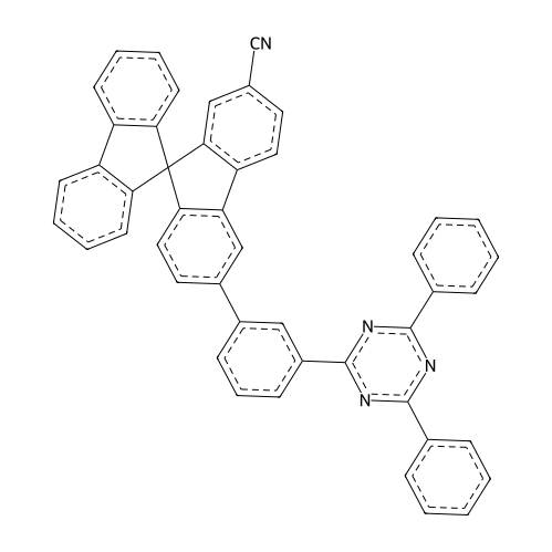 N#Cc1ccc2c(c1)C1(c3ccccc3-c3ccccc31)c1ccc(-c3cccc(-c4nc(-c5ccccc5)nc(-c5ccccc5)n4)c3)cc1-2